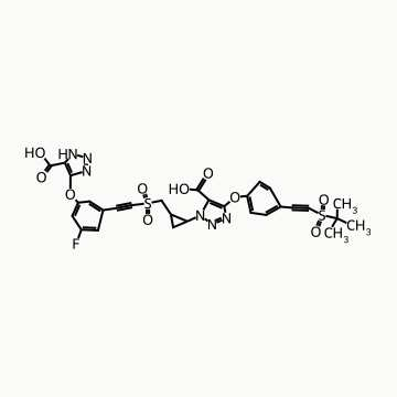 CC(C)(C)S(=O)(=O)C#Cc1ccc(Oc2nnn(C3CC3CS(=O)(=O)C#Cc3cc(F)cc(Oc4nn[nH]c4C(=O)O)c3)c2C(=O)O)cc1